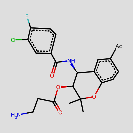 CC(=O)c1ccc2c(c1)[C@H](NC(=O)c1ccc(F)c(Cl)c1)[C@H](OC(=O)CCN)C(C)(C)O2